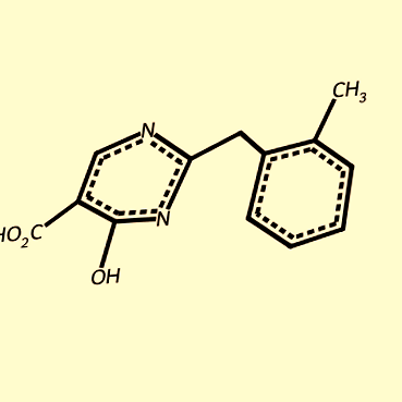 Cc1ccccc1Cc1ncc(C(=O)O)c(O)n1